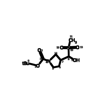 CC(C)(C)OC(=O)N1CCC(C(O)S(C)(=O)=O)C1